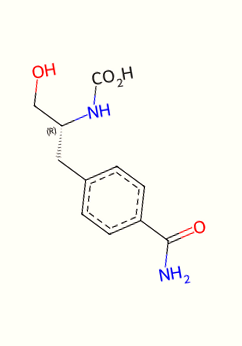 NC(=O)c1ccc(C[C@H](CO)NC(=O)O)cc1